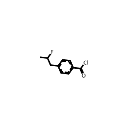 CC(F)Cc1ccc(C(=O)Cl)cc1